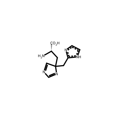 N[C@@H](CC1(Cc2ncc[nH]2)C=NC=N1)C(=O)O